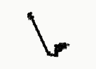 CC[C@H](C)[C@H]([C@@H](CC(=O)N1CCC[C@H]1[C@H](OC)[C@@H](C)C(=O)N[C@@H](Cc1ccccc1)c1nc(C(=O)N(C)CCSSCCN(C)C(=O)CCOCCOCCOCCOCCOCCOCCOCCOCCOCCOCCOCCOCCNC(=O)CCN2C(=O)C=CC2=O)cs1)OC)N(C)C(=O)[C@@H](NC(=O)[C@H](C(C)C)N(C)C)C(C)C